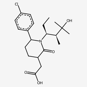 CC[C@@H]([C@H](C)C(C)(C)O)N1C(=O)C(CC(=O)O)CCC1c1ccc(Cl)cc1